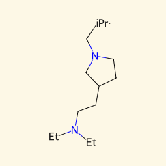 CCN(CC)CCC1CCN(C[C](C)C)C1